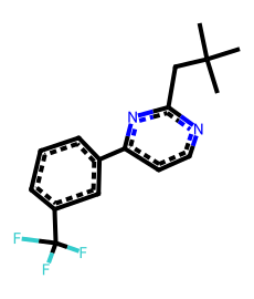 CC(C)(C)Cc1nccc(-c2cccc(C(F)(F)F)c2)n1